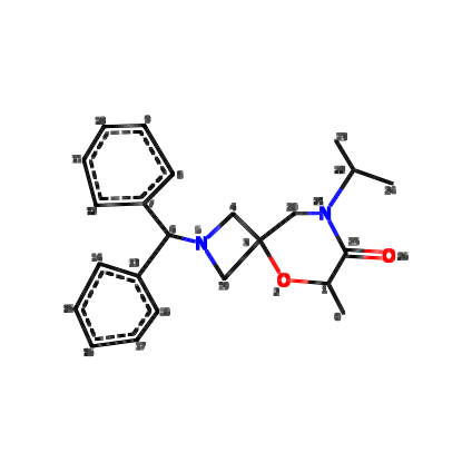 CC1OC2(CN(C(c3ccccc3)c3ccccc3)C2)CN(C(C)C)C1=O